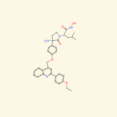 CCOc1ccc(-c2cc(COc3ccc(C4(N)CCN(C(CC(C)C)C(=O)NO)C4=O)cc3)c3ccccc3n2)cc1